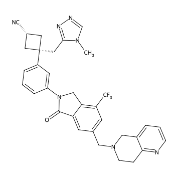 Cn1cnnc1C[C@]1(c2cccc(N3Cc4c(cc(CN5CCc6ncccc6C5)cc4C(F)(F)F)C3=O)c2)C[C@H](C#N)C1